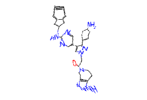 NC1CCC(c2nn(CC(=O)N3CCc4[nH]nnc4C3)cc2-c2cnc(NC3Cc4ccccc4C3)nc2)CC1